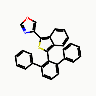 c1ccc(-c2cccc(-c3ccccc3)c2-c2sc(-c3cocn3)c3ccccc23)cc1